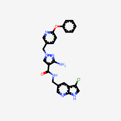 Nc1nn(Cc2ccc(Oc3ccccc3)nc2)cc1C(=O)NCc1cnc2[nH]cc(Cl)c2c1